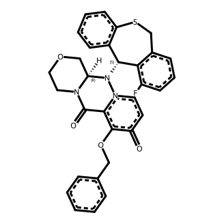 O=C1c2c(OCc3ccccc3)c(=O)ccn2N([C@@H]2c3ccccc3SCc3cccc(F)c32)[C@@H]2COCCN12